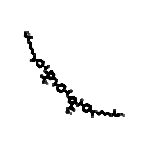 C=CC(=O)OCCCCOC(=O)C1CCC(C(=O)Oc2ccc(OC(=O)N3CCN(C(=O)Oc4ccc(OC(=O)[C@H]5CC[C@H](C(=O)OCCCCOC(=O)C=C)CC5)c(C(C)=O)c4)CC3)cc2C(=O)OC)CC1